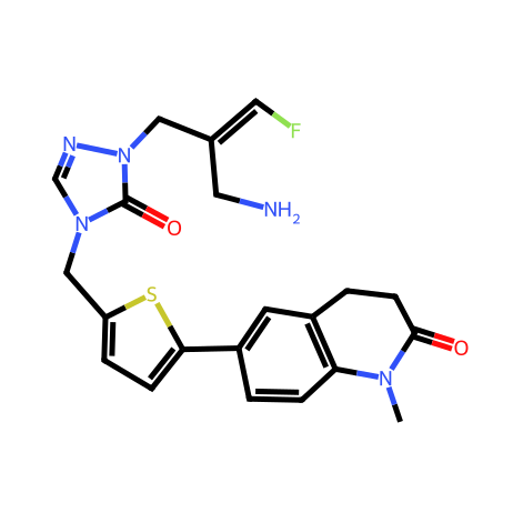 CN1C(=O)CCc2cc(-c3ccc(Cn4cnn(C/C(=C/F)CN)c4=O)s3)ccc21